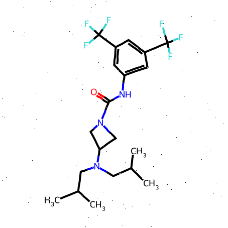 CC(C)CN(CC(C)C)C1CN(C(=O)Nc2cc(C(F)(F)F)cc(C(F)(F)F)c2)C1